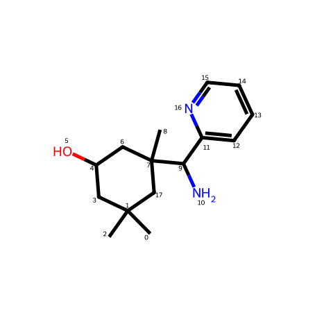 CC1(C)CC(O)CC(C)(C(N)c2ccccn2)C1